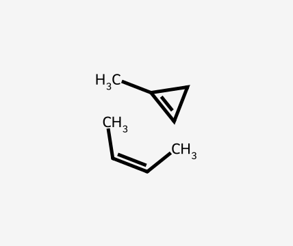 C/C=C\C.CC1=CC1